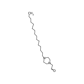 CCCCCCCCCCCCCCCCN1CCN(CC=O)CC1